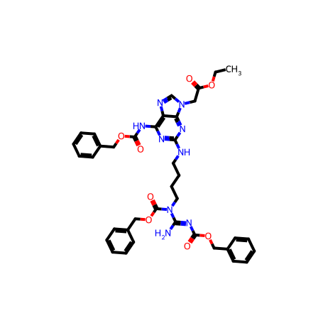 CCOC(=O)Cn1cnc2c(NC(=O)OCc3ccccc3)nc(NCCCCN(C(=O)OCc3ccccc3)C(N)=NC(=O)OCc3ccccc3)nc21